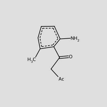 CC(=O)CC(=O)c1c(C)cccc1N